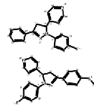 CSc1ccc(C2=NN(c3ccc(F)cc3)C(c3ccncc3)C2)cc1.Fc1ccc(N2N=C(c3ccccc3)CC2c2ccncc2)cc1